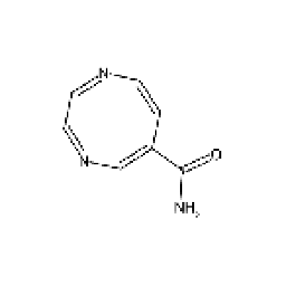 NC(=O)C1=CN=CC=NC=C1